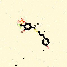 O=P([O-])([O-])C(F)(F)c1ccc(CSCC=Cc2ccc(Br)cc2)cc1Br.[Na+].[Na+]